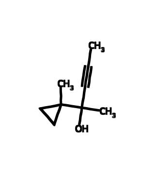 CC#CC(C)(O)C1(C)CC1